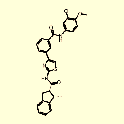 COc1ccc(NC(=O)c2cccc(-c3csc(NC(=O)[C@H]4Cc5ccccc5[C@H]4C)n3)c2)cc1Cl